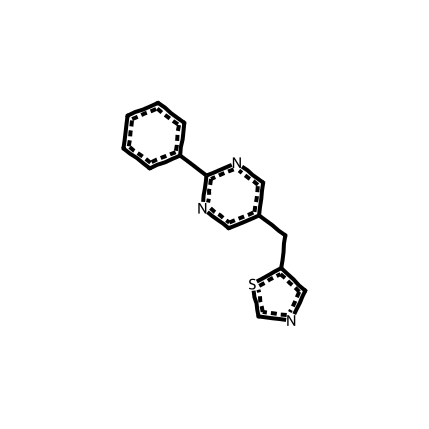 c1ccc(-c2ncc(Cc3cncs3)cn2)cc1